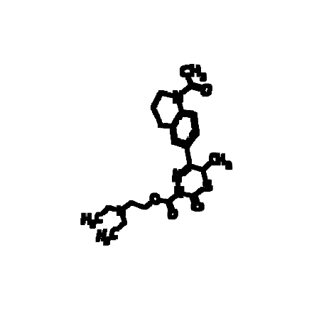 CCN(CC)CCOC(=O)N1N=C(c2ccc3c(c2)CCCN3C(C)=O)C(C)SC1=O